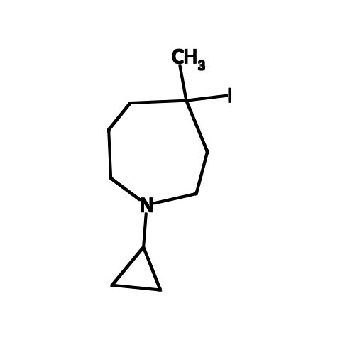 CC1(I)CCCN(C2CC2)CC1